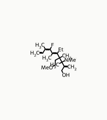 C=C/C(C)=C(F)\C(C)=C(/CC)C(C)(CCOC)C(C)(NC)C(=C)CO